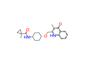 Cc1c(CO[C@H]2CC[C@H](NC(=O)C3(C)CC3)CC2)[nH]c2ccccc2c1=O